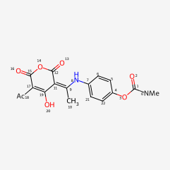 CNC(=O)Oc1ccc(NC(C)=C2C(=O)OC(=O)C(C(C)=O)=C2O)cc1